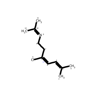 CC(C)=C/C=C(/Cl)CCN=C(C)C